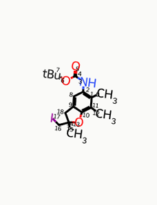 Cc1c(NC(=O)OC(C)(C)C)cc2c(c1C)OC(C)(CI)C2